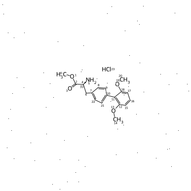 COC(=O)[C@@H](N)Cc1ccc(-c2c(OC)cccc2OC)cc1.Cl